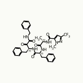 C[C@H](NC(=O)c1cc(C(F)(F)F)nn1C)C(=O)N[C@@H](Cc1ccccc1)C(=O)N[C@@H](Cc1ccccc1)C(=O)C(=O)NCc1ccccc1